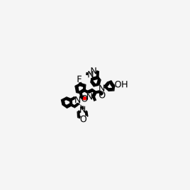 Cc1c(C(=O)N(c2ccc(O)cc2)c2ccc3c(cnn3C)c2)cc(-c2cc(F)ccc2C(=O)N2Cc3ccccc3C[C@H]2CN2CCOCC2)n1C